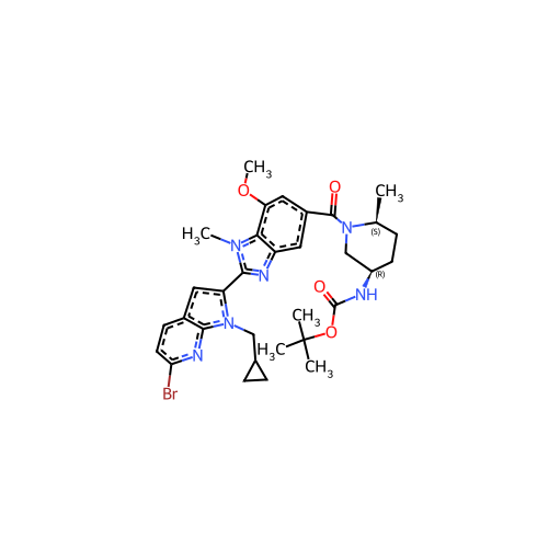 COc1cc(C(=O)N2C[C@H](NC(=O)OC(C)(C)C)CC[C@@H]2C)cc2nc(-c3cc4ccc(Br)nc4n3CC3CC3)n(C)c12